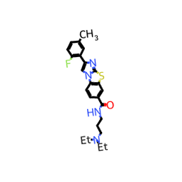 CCN(CC)CCCNC(=O)c1ccc2c(c1)sc1nc(-c3cc(C)ccc3F)cn12